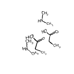 CCC(=O)O.CCC(=O)O.CNC.CNC